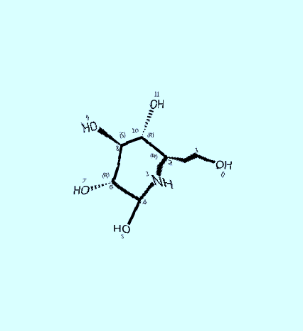 OC[C@H]1NC(O)[C@H](O)[C@@H](O)[C@@H]1O